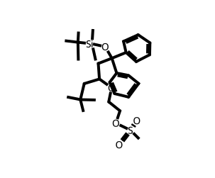 CC(C)(C)CC(CC(O[Si](C)(C)C(C)(C)C)(c1ccccc1)c1ccccc1)OCCOS(C)(=O)=O